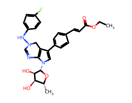 CCOC(=O)C=Cc1ccc(-c2cn([C@@H]3O[C@H](C)[C@@H](O)[C@H]3O)c3c2CN(Nc2ccc(F)cc2)C=N3)cc1